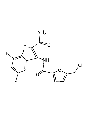 NC(=O)c1oc2c(F)cc(F)cc2c1NC(=O)c1ccc(CCl)o1